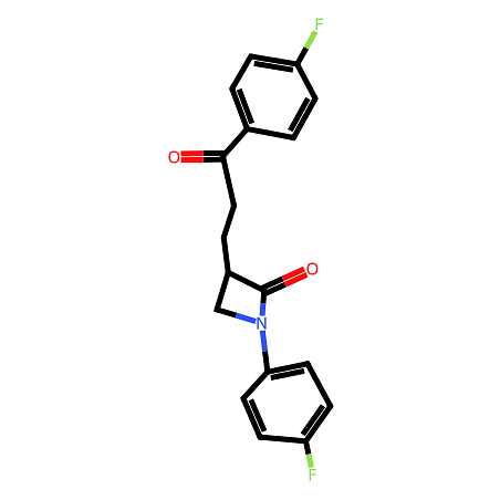 O=C(CCC1CN(c2ccc(F)cc2)C1=O)c1ccc(F)cc1